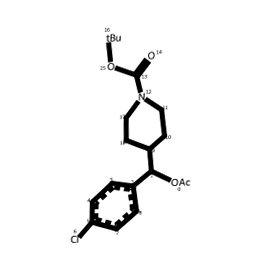 CC(=O)OC(c1ccc(Cl)cc1)C1CCN(C(=O)OC(C)(C)C)CC1